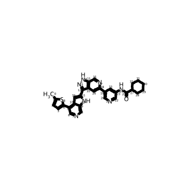 Cc1ccc(-c2cncc3[nH]c(-c4n[nH]c5cnc(-c6cncc(NC(=O)C7CCCCC7)c6)cc45)cc23)s1